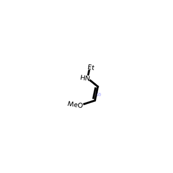 CCN/C=C\OC